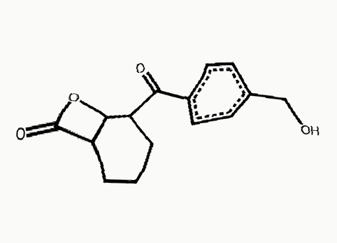 O=C1OC2C1CCCC2C(=O)c1ccc(CO)cc1